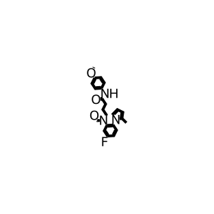 COc1ccc(NC(=O)CCCN(C=O)c2cc(F)ccc2-n2cccc2C)cc1